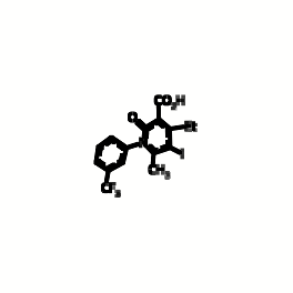 CCc1c(I)c(C)n(-c2cccc(C(F)(F)F)c2)c(=O)c1C(=O)O